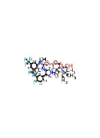 CN(C(=O)N(C)[C@@H]1CN(C(=O)C2(CN(C(=O)O)C(C)(C)C)CCOCC2)C[C@H]1c1ccc(F)cc1)c1cc(C(F)(F)F)cc(C(F)(F)F)c1